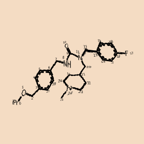 CC(C)OCc1ccc(CNC(=O)N(Cc2ccc(F)cc2)CC2CCN(C)CC2)cc1